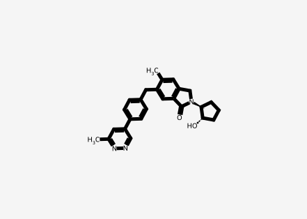 Cc1cc(-c2ccc(Cc3cc4c(cc3C)CN([C@H]3CCC[C@@H]3O)C4=O)cc2)cnn1